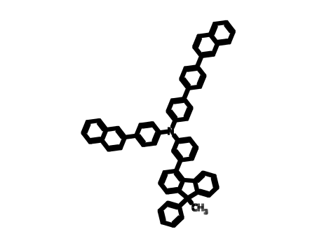 CC1(c2ccccc2)c2ccccc2-c2c(-c3cccc(N(c4ccc(-c5ccc(-c6ccc7ccccc7c6)cc5)cc4)c4ccc(-c5ccc6ccccc6c5)cc4)c3)cccc21